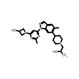 Cc1nc(N2CC(O)C2)cc(-n2ncc3cc(C)c(C4CCN(CC(O)C(F)(F)F)CC4)cc32)n1